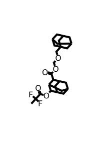 CC(F)(F)C(=O)OC1C2CC3CC(C2)C(C(=O)OCOCC24CC5CC(CC(C5)C2)C4)C1C3